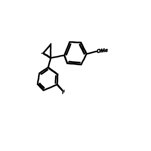 COc1ccc(C2(c3cccc(F)c3)[CH]C2)cc1